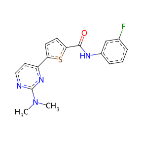 CN(C)c1nccc(-c2ccc(C(=O)Nc3cccc(F)c3)s2)n1